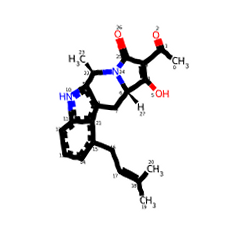 CC(=O)C1=C(O)[C@@H]2Cc3c([nH]c4cccc(CC=C(C)C)c34)[C@@H](C)N2C1=O